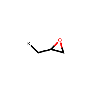 [K][CH2]C1CO1